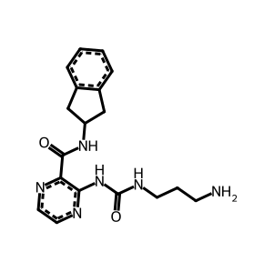 NCCCNC(=O)Nc1nccnc1C(=O)NC1Cc2ccccc2C1